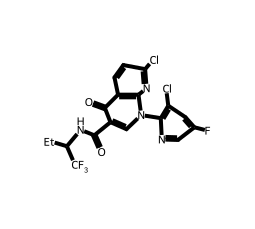 CCC(NC(=O)c1cn(-c2ncc(F)cc2Cl)c2nc(Cl)ccc2c1=O)C(F)(F)F